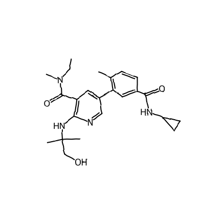 CCN(C)C(=O)c1cc(-c2cc(C(=O)NC3CC3)ccc2C)cnc1NC(C)(C)CO